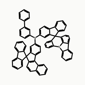 c1ccc(-c2cccc(N(c3ccc4c(c3)C3(c5ccccc5-c5ccccc53)c3ccc5ccccc5c3-4)c3ccc4c(c3)C3(c5ccccc5-4)c4ccccc4-n4c5ccccc5c5cccc3c54)c2)cc1